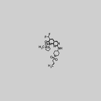 C=CCS(=O)(=O)N1CCC(Nc2ncc3cc(C(F)F)c(=O)n([C@@H]4CCC[C@@]4(C)O)c3n2)CC1